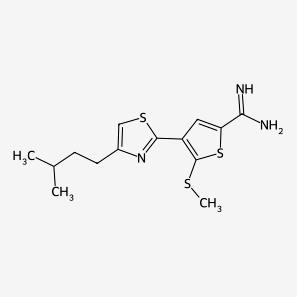 CSc1sc(C(=N)N)cc1-c1nc(CCC(C)C)cs1